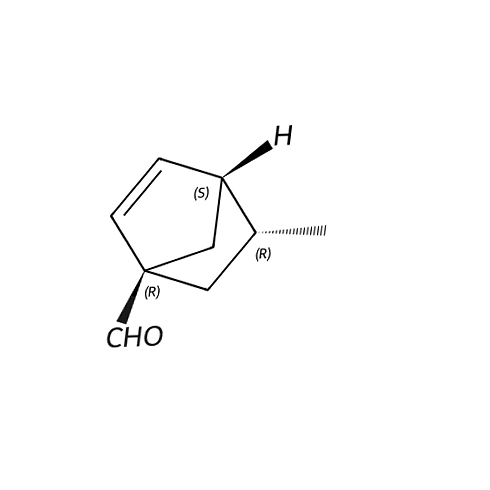 C[C@@H]1C[C@]2(C=O)C=C[C@H]1C2